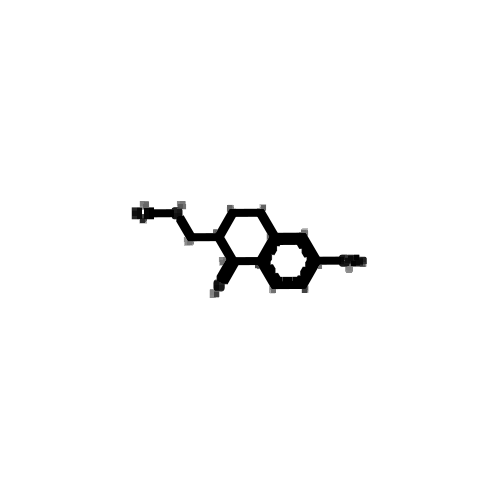 COc1ccc2c(c1)CCC(CON)C2=O